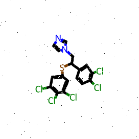 Clc1ccc(C(Cn2ccnc2)Sc2cc(Cl)c(Cl)c(Cl)c2)cc1Cl